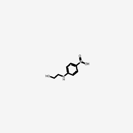 O=[N+](O)c1ccc(NCCO)cc1